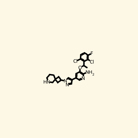 CC(Oc1cc(-c2cnn(C3CC4(CCCNC4)C3)c2)cnc1N)c1c(Cl)ccc(F)c1Cl